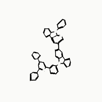 c1ccc(-c2cc(-c3ccccc3)nc(-c3cccc(-n4c5ccccc5c5cc(-c6cnc7c(c6)c6ccccc6n7-c6ccccc6)ccc54)c3)c2)cc1